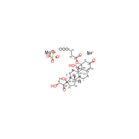 C[C@]12C[C@H](O)[C@H]3[C@@H](CCC4=CC(=O)CC(OC(=O)CCC(=O)[O-])[C@@]43C)[C@@H]1CC[C@]2(O)C(=O)CO.O=S(=O)([O-])[O-].[Mg+2].[Na+]